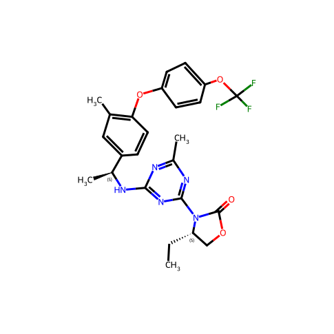 CC[C@H]1COC(=O)N1c1nc(C)nc(N[C@@H](C)c2ccc(Oc3ccc(OC(F)(F)F)cc3)c(C)c2)n1